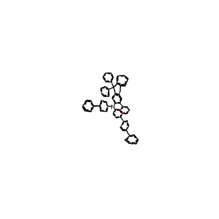 c1ccc(-c2ccc(-c3ccc(N(c4ccc(-c5ccccc5)cc4)c4cc5c(cc4-c4ccccc4)-c4ccccc4C5(c4ccccc4)c4ccccc4)cc3)cc2)cc1